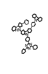 C1=CCCC(c2ccc(-c3ccccc3)c(Nc3ccc4c(c3)c3cc(C5C=CC(n6c7ccccc7c7ccccc76)=CC5)ccc3n4-c3ccc(-c4nc(-c5ccccc5)nc(-c5ccccc5)n4)cc3)c2)=C1